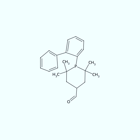 CC1(C)CC(C=O)CC(C)(C)P1c1ccccc1-c1ccccc1